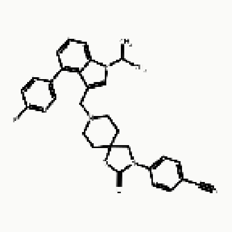 CC(C)n1cc(CN2CCC3(CC2)CN(c2ccc(C#N)cc2)C(=O)O3)c2c(-c3ccc(F)nc3)cccc21